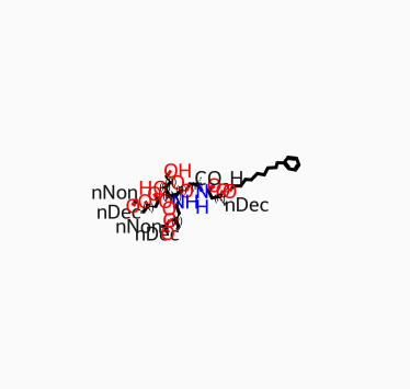 CCCCCCCCCCC[C@H](CC(=O)N[C@H](CO[C@@H]1O[C@H](CO)[C@H](O)[C@H](OC(=O)C[C@@H](CCCCCCCCCCC)OC(=O)CCCCCCCCC)[C@H]1NC(=O)C[C@@H](CCCCCCCCCCC)OC(=O)CCCCCCCCC)C(=O)O)OOCCCCCCCCCc1ccccc1